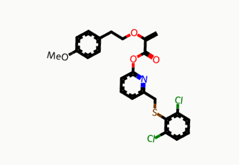 C=C(OCCc1ccc(OC)cc1)C(=O)Oc1cccc(CSc2c(Cl)cccc2Cl)n1